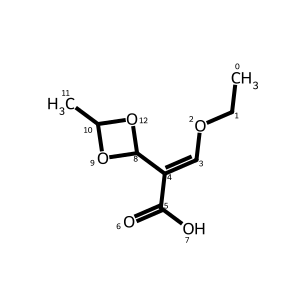 CCO/C=C(/C(=O)O)C1OC(C)O1